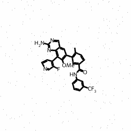 COc1c(-c2cc(C(=O)Nc3cccc(C(F)(F)F)c3)ccc2C)cc2cnc(N)nc2c1-c1ccncc1F